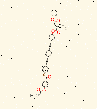 C=CC(=O)Oc1ccc(C(=O)Sc2ccc(C#Cc3ccc(C#Cc4ccc(OC(=O)C(=C)CC(=O)OC5CCCCC5)cc4)cc3)cc2)cc1